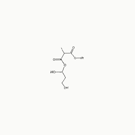 CCCOC(=O)C(C)C(=O)OC(O)CCO